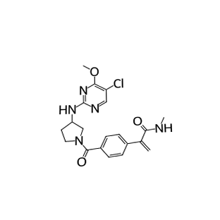 C=C(C(=O)NC)c1ccc(C(=O)N2CCC(Nc3ncc(Cl)c(OC)n3)C2)cc1